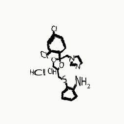 Cl.Cl.Nc1ccccc1SCC1COC(Cn2ccnc2)(c2ccc(Cl)cc2Cl)O1